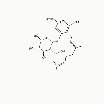 CCCCCc1cc(O)c(C/C=C(\C)CCC=C(C)C)c(OC2O[C@H](O)[C@@H](O)[C@H](O)[C@H]2CO)c1